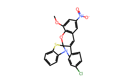 COc1cc([N+](=O)[O-])cc2c1OC1(Sc3ccccc3N1C)C(c1ccc(Cl)cc1)=C2